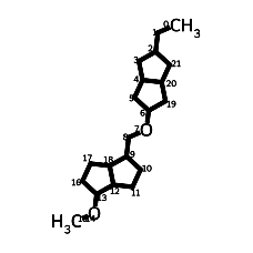 CCC1CC2CC(OCC3CCC4C(OC)CCC34)CC2C1